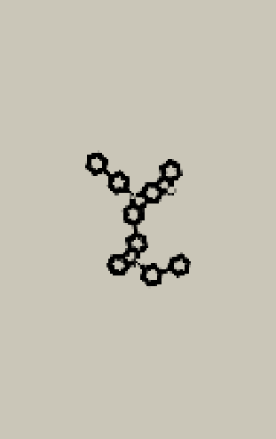 c1ccc(-c2ccc(-n3c4ccc(-c5ccc6c(c5)c5ccccc5n6-c5cccc(-c6ccccc6)c5)cc4c4cc5oc6ccccc6c5cc43)cc2)cc1